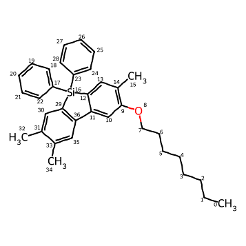 CCCCCCCCOc1cc2c(cc1C)[Si](c1ccccc1)(c1ccccc1)c1cc(C)c(C)cc1-2